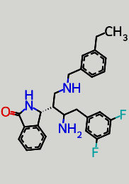 CCc1cccc(CNCC(C(N)Cc2cc(F)cc(F)c2)[C@H]2NC(=O)c3ccccc32)c1